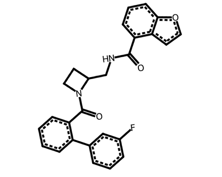 O=C(NCC1CCN1C(=O)c1ccccc1-c1cccc(F)c1)c1cccc2occc12